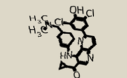 CN(C)CC1CCC(Nc2c(C(=O)C3CC3)cnc3ccc(-c4cc(Cl)c(O)c(Cl)c4)nc23)CC1